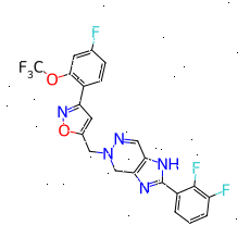 Fc1ccc(-c2cc(CN3Cc4nc(-c5cccc(F)c5F)[nH]c4C=N3)on2)c(OC(F)(F)F)c1